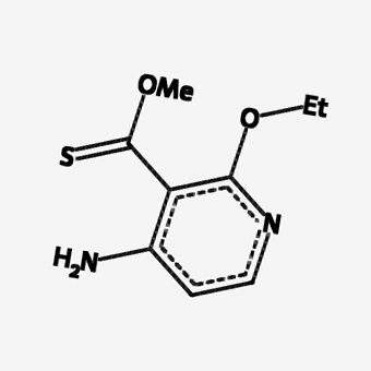 CCOc1nccc(N)c1C(=S)OC